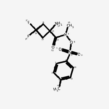 Cc1ccc(S(=O)(=O)ON(C)C(=O)C2(N)CC(F)(F)C2)cc1